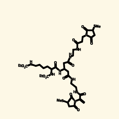 C=C(C(=O)NCCNC(=O)CC(CC(=O)NCCNC(=O)CCN1C(=O)CC(SC)C1=O)NC(=O)C(CCCCNC(=O)OCC)NC(=O)OCC)N1C(=O)CC(SC)C1=O